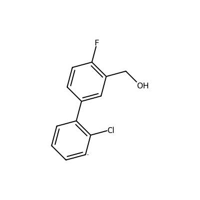 OCc1cc(-c2ccc[c]c2Cl)ccc1F